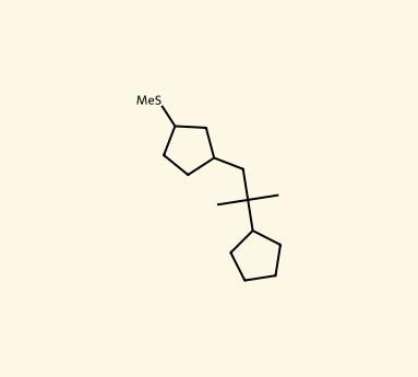 CSC1CCC(CC(C)(C)C2CCCC2)C1